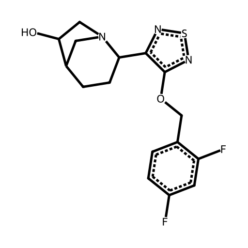 OC1CN2CC1CCC2c1nsnc1OCc1ccc(F)cc1F